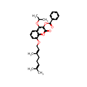 CC(C)=CCC/C(C)=C/COc1cccc2c(OC(C)C)c(OC(=O)c3ccccc3)c(=O)oc12